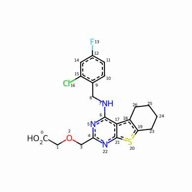 O=C(O)COCc1nc(NCc2ccc(F)cc2Cl)c2c3c(sc2n1)CCCC3